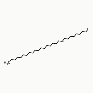 CCCCCCCCCCCCCCCCCC[CH]CCCCCCCCF